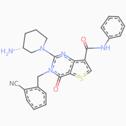 N#Cc1ccccc1Cn1c(N2CCC[C@@H](N)C2)nc2c(C(=O)Nc3ccccc3)csc2c1=O